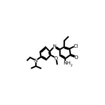 CCC1=C(Cl)C(=O)C(N)=CC1=Nc1ccc(N(CC)C(C)C)cc1OC